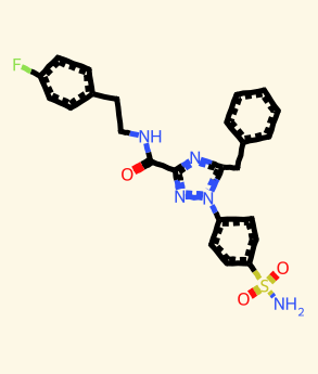 NS(=O)(=O)c1ccc(-n2nc(C(=O)NCCc3ccc(F)cc3)nc2Cc2ccccc2)cc1